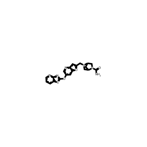 NC(=O)N1CC2CC1CN2Cc1cc2ncc(Oc3nc4ncccc4s3)cc2o1